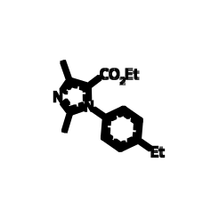 CCOC(=O)c1c(C)nc(C)n1-c1ccc(CC)cc1